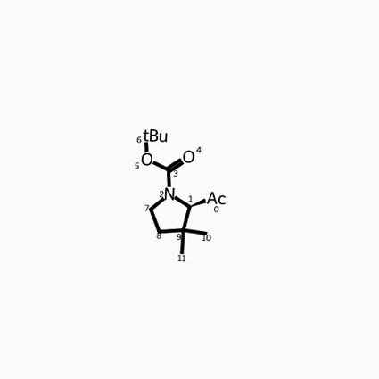 CC(=O)[C@@H]1N(C(=O)OC(C)(C)C)CCC1(C)C